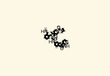 CCC1(C(=O)N(CC(=O)Nc2ccc3c(c2)C[C@@]2(C3)C(=O)Nc3ncccc32)Cc2ccccc2CNC)CCN(C(=O)N2CCC2)CC1